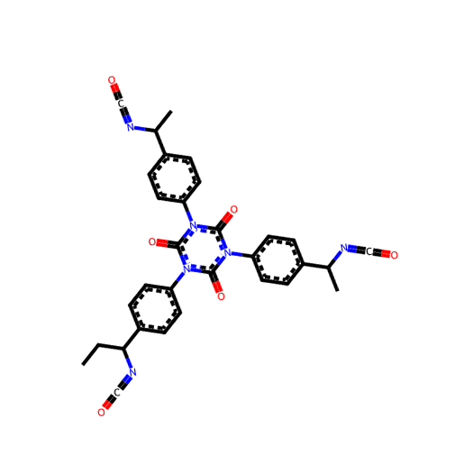 CCC(N=C=O)c1ccc(-n2c(=O)n(-c3ccc(C(C)N=C=O)cc3)c(=O)n(-c3ccc(C(C)N=C=O)cc3)c2=O)cc1